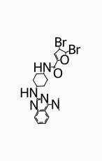 CN(C)c1nc(N[C@H]2CC[C@@H](NC(=O)C3=CC(Br)C(Br)O3)CC2)nc2ccccc12